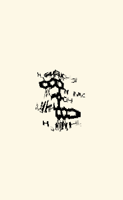 CC(=O)Nc1cc(N(C)C)c2c(N(C)C)c3ccccc3cc2c1C1=C(O)C(c2c(NC(C)=O)cc(N(C)C)c3c(N(C)C)c4ccccc4cc23)C1=C(C#N)C#N